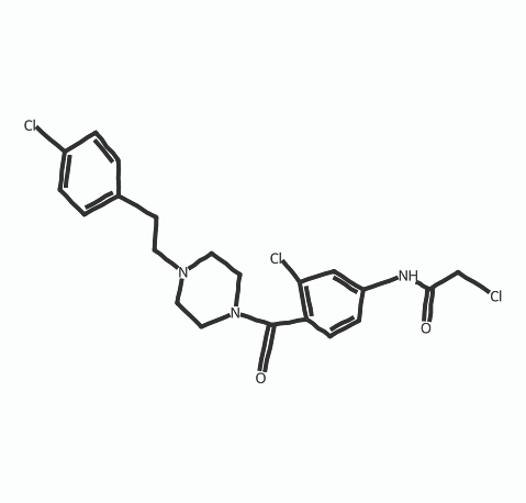 O=C(CCl)Nc1ccc(C(=O)N2CCN(CCc3ccc(Cl)cc3)CC2)c(Cl)c1